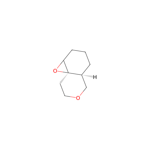 C1CC2O[C@@]23CCOC[C@@H]3C1